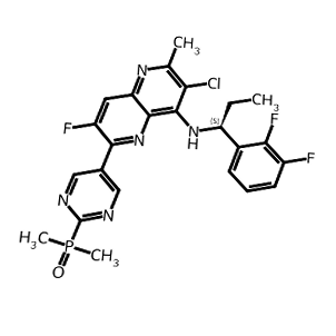 CC[C@H](Nc1c(Cl)c(C)nc2cc(F)c(-c3cnc(P(C)(C)=O)nc3)nc12)c1cccc(F)c1F